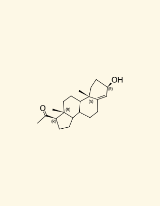 CC(=O)[C@@H]1CCC2C3CCC4=C[C@H](O)CC[C@@]4(C)C3CC[C@]21C